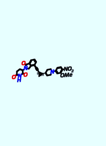 COc1cc(N2CCC([C@@H]3C[C@H]3C#Cc3cccc4c3CN(C3CCC(=O)NC3=O)C4=O)CC2)ccc1[N+](=O)[O-]